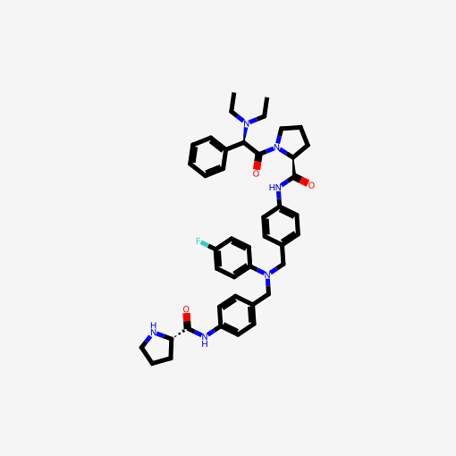 CCN(CC)[C@@H](C(=O)N1CCC[C@H]1C(=O)Nc1ccc(CN(Cc2ccc(NC(=O)[C@@H]3CCCN3)cc2)c2ccc(F)cc2)cc1)c1ccccc1